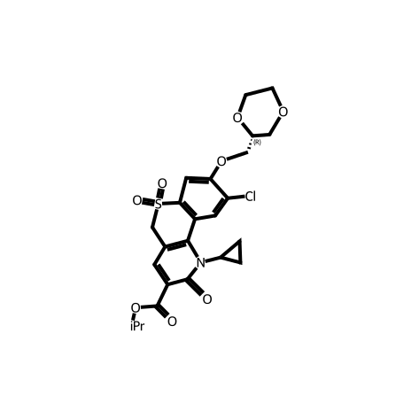 CC(C)OC(=O)c1cc2c(n(C3CC3)c1=O)-c1cc(Cl)c(OC[C@H]3COCCO3)cc1S(=O)(=O)C2